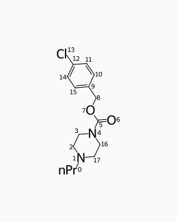 CCCN1CCN(C(=O)OCc2ccc(Cl)cc2)CC1